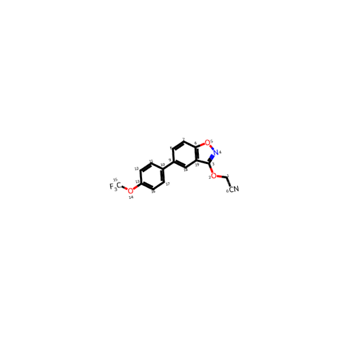 N#CCOc1noc2ccc(-c3ccc(OC(F)(F)F)cc3)cc12